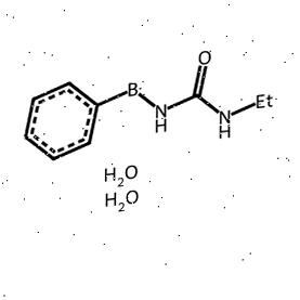 CCNC(=O)N[B]c1ccccc1.O.O